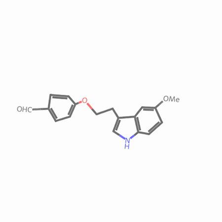 COc1ccc2[nH]cc(CCOc3ccc(C=O)cc3)c2c1